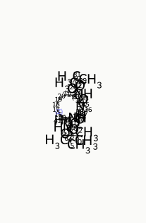 CC(C)C(C(C)C)S(=O)(=O)NC(=O)[C@@]12C[C@H]1/C=C\CCCCC[C@H](NC(=O)OC(C)(C)C)C(=O)N1CCC[C@H]1C(=O)N2